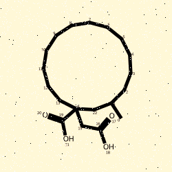 CC1CCCCCCCCCCCCC(CC(=O)O)(C(=O)O)C1